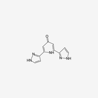 O=c1cc(-c2cc[nH]n2)[nH]c(-c2cc[nH]n2)c1